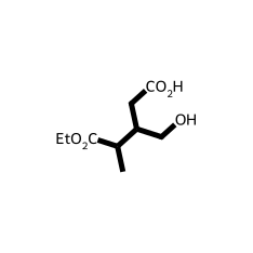 CCOC(=O)C(C)C(CO)CC(=O)O